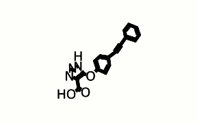 O=C(O)c1nn[nH]c1Oc1ccc(C#Cc2ccccc2)cc1